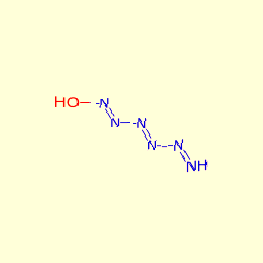 N=N/N=N/N=N/O